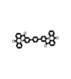 O=c1c2ccccc2n2c3ccc(-c4ccc(-c5ccc6c(c5)c(=O)c5cccc7c(=O)c8ccccc8n6c75)cc4)cc3c(=O)c3cccc1c32